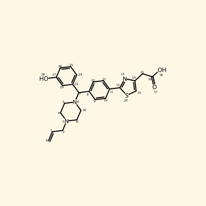 C=CCN1CCN(C(c2ccc(-c3nc(CC(=O)O)cs3)cc2)c2cccc(O)c2)CC1